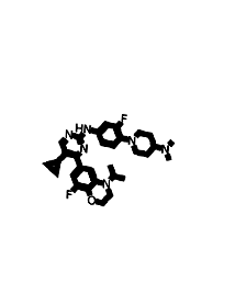 CC(C)N1CCOc2c(F)cc(-c3nc(Nc4ccc(N5CCC(N(C)C)CC5)c(F)c4)ncc3C3CC3)cc21